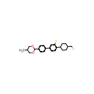 CC1COC(c2ccc(-c3ccc(C4CCC(CF)CC4)c(F)c3)cc2)OC1